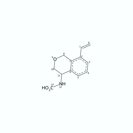 C=Cc1cccc2c1COCC2NC(=O)O